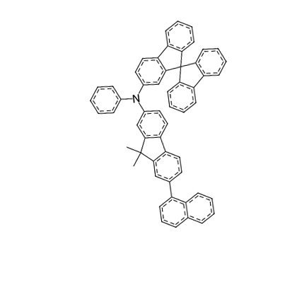 CC1(C)c2cc(-c3cccc4ccccc34)ccc2-c2ccc(N(c3ccccc3)c3ccc4c(c3)C3(c5ccccc5-c5ccccc53)c3ccccc3-4)cc21